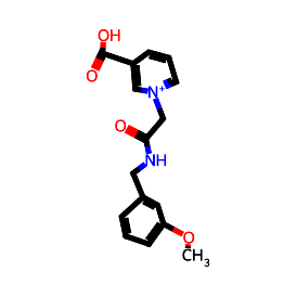 COc1cccc(CNC(=O)C[n+]2cccc(C(=O)O)c2)c1